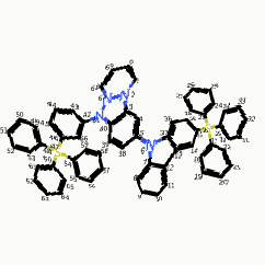 C1=CN2c3cc(-n4c5ccccc5c5cc(S(c6ccccc6)(c6ccccc6)c6ccccc6)ccc54)ccc3N(c3cccc(S(c4ccccc4)(c4ccccc4)c4ccccc4)c3)N2C=C1